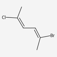 C/C(Cl)=C\C=C(/C)Br